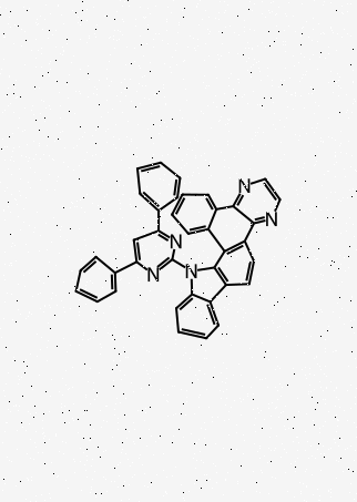 c1ccc(-c2cc(-c3ccccc3)nc(-n3c4ccccc4c4ccc5c6nccnc6c6ccccc6c5c43)n2)cc1